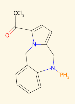 O=C(c1ccc2n1Cc1ccccc1N(P)C2)C(Cl)(Cl)Cl